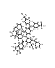 Cc1cc2c3c(c1)N(c1cccc4oc5ccccc5c14)c1cc(N(c4ccc(C(C)(C)C)cc4)c4ccc(C(C)(C)C)cc4)ccc1B3c1cc3c(cc1N2c1cc2c(cc1C)C(C)(C)CC2(C)C)C(C)(C)c1ccccc1C3(C)C